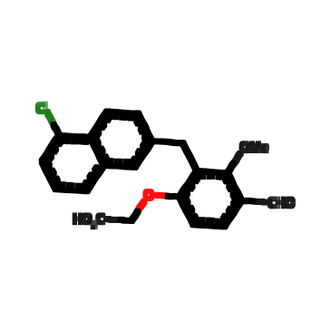 COc1c(C=O)ccc(OCC(=O)O)c1Cc1ccc2c(Cl)cccc2c1